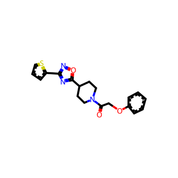 O=C(COc1ccccc1)N1CCC(c2nc(-c3cccs3)no2)CC1